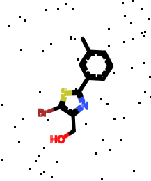 Cc1cccc(-c2nc(CO)c(Br)s2)c1